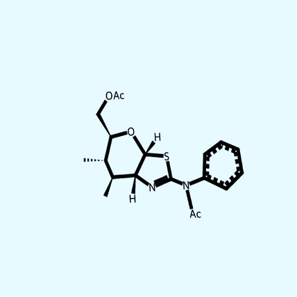 CC(=O)OC[C@H]1O[C@@H]2SC(N(C(C)=O)c3ccccc3)=N[C@@H]2[C@@H](C)[C@@H]1C